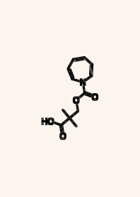 CC(C)(COC(=O)N1C=CC=CC=C1)C(=O)O